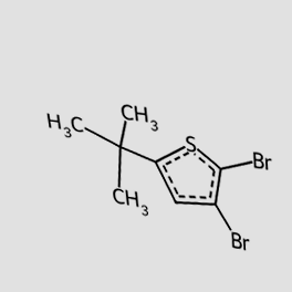 CC(C)(C)c1cc(Br)c(Br)s1